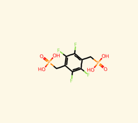 O=P(O)(O)Cc1c(F)c(F)c(CP(=O)(O)O)c(F)c1F